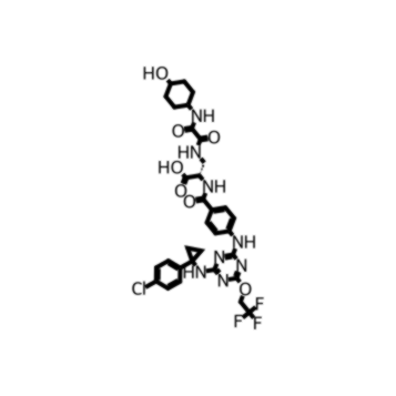 O=C(NC[C@H](NC(=O)c1ccc(Nc2nc(NC3(c4ccc(Cl)cc4)CC3)nc(OCC(F)(F)F)n2)cc1)C(=O)O)C(=O)NC1CCC(O)CC1